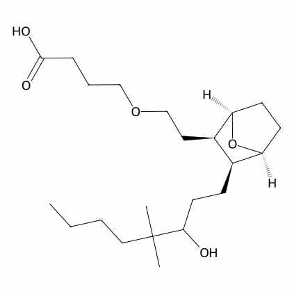 CCCCC(C)(C)C(O)CC[C@H]1[C@@H](CCOCCCC(=O)O)[C@H]2CC[C@@H]1O2